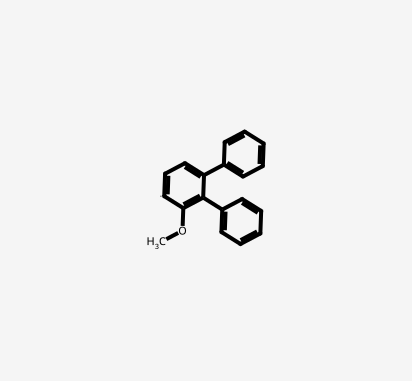 COc1[c]ccc(-c2ccccc2)c1-c1ccccc1